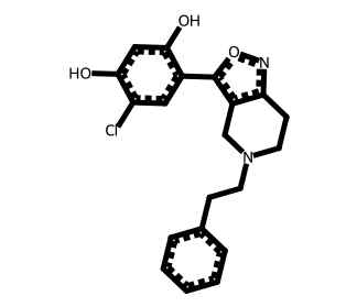 Oc1cc(O)c(-c2onc3c2CN(CCc2ccccc2)CC3)cc1Cl